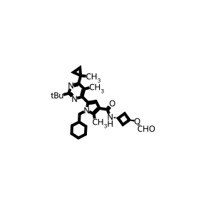 Cc1c(-c2cc(C(=O)N[C@H]3C[C@H](OC=O)C3)c(C)n2CC2CCCCC2)nc(C(C)(C)C)nc1C1(C)CC1